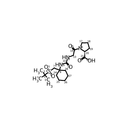 CC(C)(C)S(=O)(=O)CC1(NC(=O)NCC(=O)N2CCC[C@H]2C(=O)O)CCCCC1